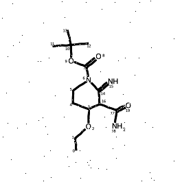 CCOC1CCN(C(=O)OC(C)(C)C)C(=N)C1C(N)=O